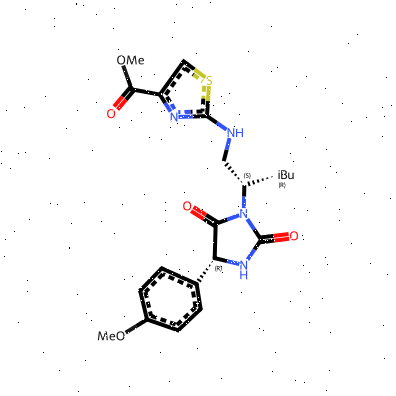 CC[C@@H](C)[C@@H](CNc1nc(C(=O)OC)cs1)N1C(=O)N[C@H](c2ccc(OC)cc2)C1=O